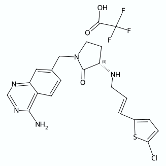 Nc1ncnc2cc(CN3CC[C@H](NCC=Cc4ccc(Cl)s4)C3=O)ccc12.O=C(O)C(F)(F)F